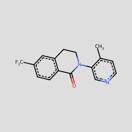 Cc1ccncc1N1CCc2cc(C(F)(F)F)ccc2C1=O